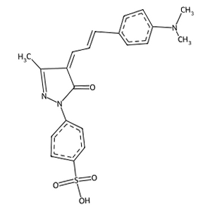 CC1=NN(c2ccc(S(=O)(=O)O)cc2)C(=O)C1=CC=Cc1ccc(N(C)C)cc1